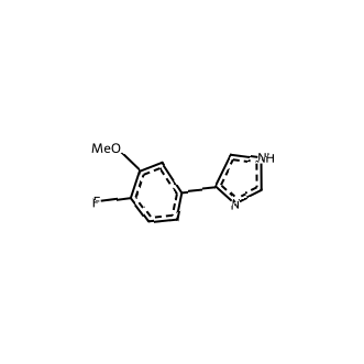 COc1cc(-c2c[nH]cn2)ccc1F